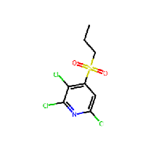 CCCS(=O)(=O)c1cc(Cl)nc(Cl)c1Cl